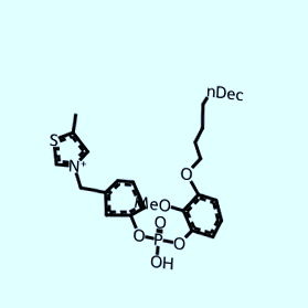 CCCCCCCCCCCCCCOc1cccc(OP(=O)(O)Oc2cccc(C[n+]3csc(C)c3)c2)c1OC